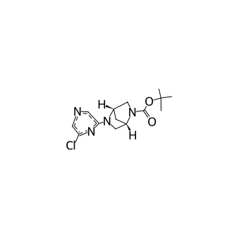 CC(C)(C)OC(=O)N1C[C@@H]2C[C@H]1CN2c1cncc(Cl)n1